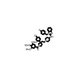 COc1cc(C(=O)N2CCC(CCN3CCC(Nc4nc5ccccc5n4Cc4ccc(F)cc4)CC3)(c3ccc(Cl)cc3)C2)cc(OC)c1OC